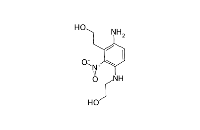 Nc1ccc(NCCO)c([N+](=O)[O-])c1CCO